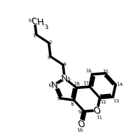 CCCCCn1ncc2c(=O)oc3ccccc3c21